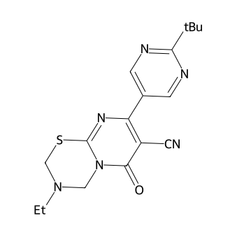 CCN1CSc2nc(-c3cnc(C(C)(C)C)nc3)c(C#N)c(=O)n2C1